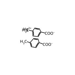 Cc1ccc(C(=O)[O-])cc1.Cc1ccc(C(=O)[O-])cc1.[Hg+2]